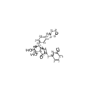 Cc1ccc(CNC(=O)c2nc(-c3ccc(CN4CCOCC4)cc3)nc(O)c2O)cc1Cl